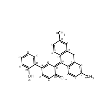 Cc1ccc2c(c1)Cc1cc(C)ccc1C2=C1C=C(c2ccccc2O)C=CC1=O